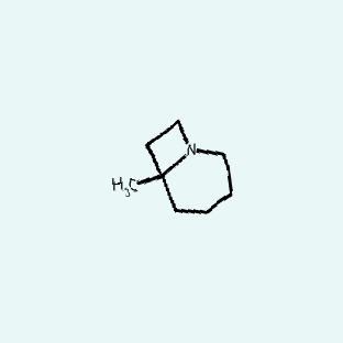 CC12CCCCN1CC2